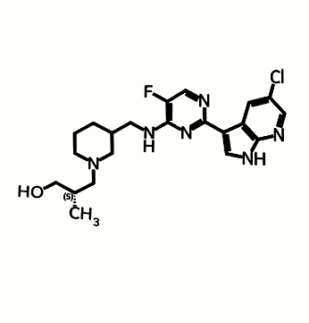 C[C@H](CO)CN1CCCC(CNc2nc(-c3c[nH]c4ncc(Cl)cc34)ncc2F)C1